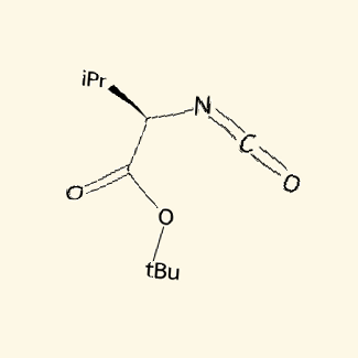 CC(C)[C@@H](N=C=O)C(=O)OC(C)(C)C